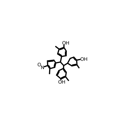 CC1=CC(C(c2ccc(O)c(C)c2)C(c2ccc(O)c(C)c2)c2ccc(N=O)c(C)c2)CC=C1O